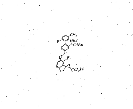 CO[C@H](c1cc(COc2ccc3c(c2F)[C@]2(CC3)C[C@H]2C(=O)O)ccc1-c1cc(C)ccc1F)C(C)(C)C